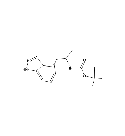 CC(Cc1cccc2[nH]ncc12)NC(=O)OC(C)(C)C